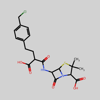 CC1(C)SC2C(NC(=O)C(CCc3ccc(CCl)cc3)C(=O)O)C(=O)N2C1C(=O)O